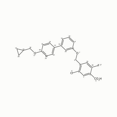 O=C(O)c1cc(Cl)c(COc2cccc(-c3ccc(OCC4CC4)nc3)c2)cc1F